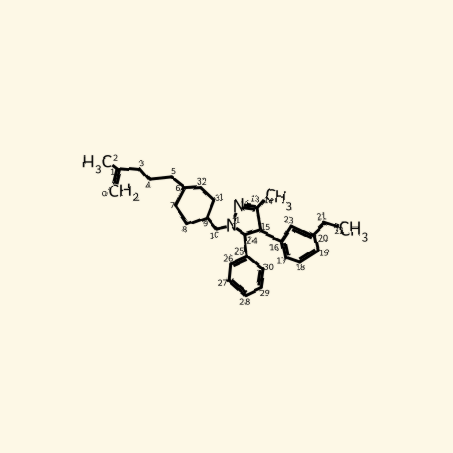 C=C(C)CCCC1CCC(CN2N=C(C)C(c3cccc(CC)c3)C2c2ccccc2)CC1